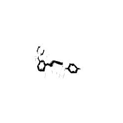 CCOC(=O)C(=CNc1ccc(Cl)cc1)C(=O)c1cc(CN2CCOCC2)ccc1F